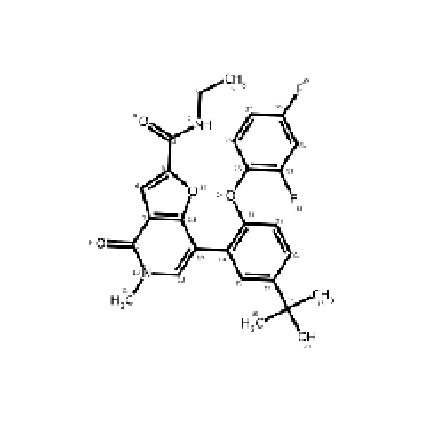 CCNC(=O)c1cc2c(=O)n(C)cc(-c3cc(C(C)(C)O)ccc3Oc3ccc(F)cc3F)c2o1